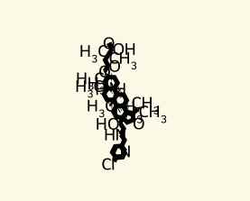 CC(C)C1=C2[C@H]3CC[C@@H]4[C@@]5(C)CC[C@H](OC(=O)CC(C)(C)C(=O)O)C(C)(C)[C@@H]5CC[C@@]4(C)[C@]3(C)CCC2(C(O)CNCc2ccc(Cl)cn2)CC1=O